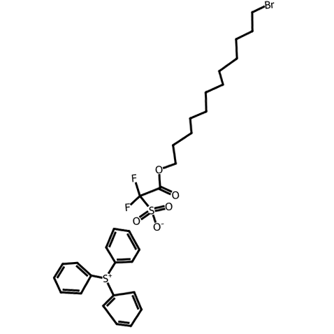 O=C(OCCCCCCCCCCCCBr)C(F)(F)S(=O)(=O)[O-].c1ccc([S+](c2ccccc2)c2ccccc2)cc1